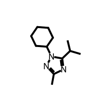 Cc1nc(C(C)C)n(C2CCCCC2)n1